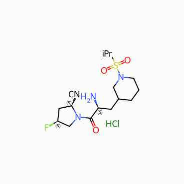 CC(C)S(=O)(=O)N1CCCC(C[C@H](N)C(=O)N2C[C@@H](F)C[C@H]2C#N)C1.Cl